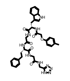 Cc1ccc(OCC(=O)N[C@@H](CC2=CNC3C=CC=CC23)C(=O)NCC(=O)N[C@@H](CCc2ccccc2)C(=O)NCC(=O)NCc2nnn[nH]2)cc1